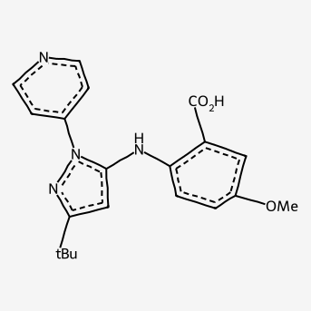 COc1ccc(Nc2cc(C(C)(C)C)nn2-c2ccncc2)c(C(=O)O)c1